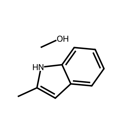 CO.Cc1cc2ccccc2[nH]1